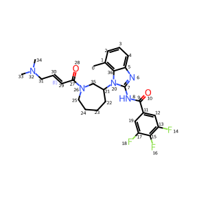 Cc1cccc2nc(NC(=O)c3cc(F)c(F)c(F)c3)n(C3CCCCN(C(=O)/C=C/CN(C)C)C3)c12